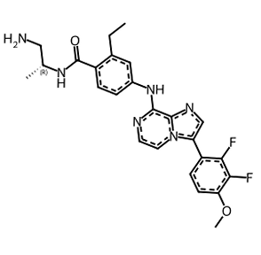 CCc1cc(Nc2nccn3c(-c4ccc(OC)c(F)c4F)cnc23)ccc1C(=O)N[C@H](C)CN